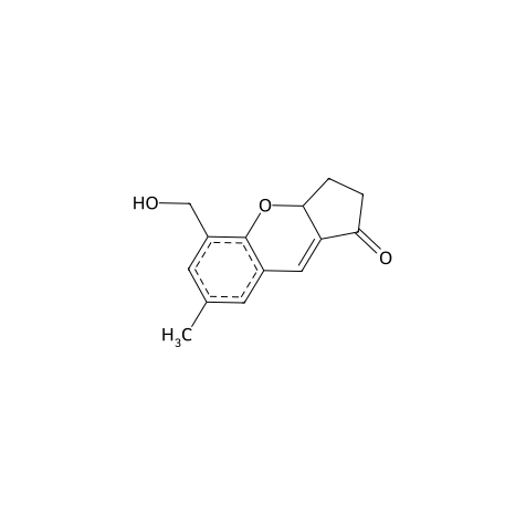 Cc1cc2c(c(CO)c1)OC1CCC(=O)C1=C2